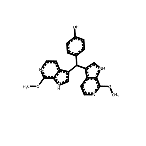 COc1nccc2c(C(c3ccc(O)cc3)c3c[nH]c4c(OC)nccc34)c[nH]c12